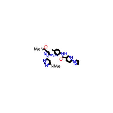 CNC(=O)c1cc(Nc2cc(NC(=O)c3ccc(-n4cccn4)nc3)ccc2C)n(-c2cc(NC)ncn2)n1